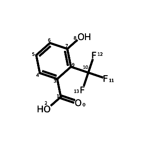 O=C(O)c1cccc(O)c1C(F)(F)F